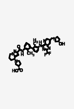 Cc1c(NC(=O)c2cc3n(n2)CCCC3N2CC[C@@H](C(=O)O)C2)cccc1-c1cccc(Nc2nc(C(F)F)nc3cc(CN4CC[C@@H](O)C4)cnc23)c1C